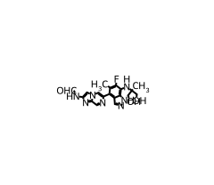 Cc1c(F)c(NC(C)(CO)CO)c2[nH]ncc2c1-c1cn2cc(NC=O)nc2cn1